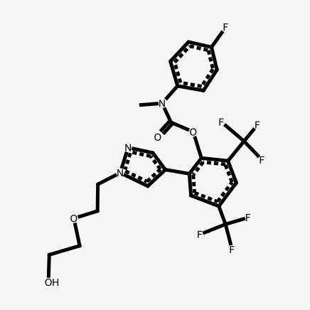 CN(C(=O)Oc1c(-c2cnn(CCOCCO)c2)cc(C(F)(F)F)cc1C(F)(F)F)c1ccc(F)cc1